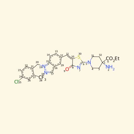 CCOC(=O)C1(N)CCN(C2=NC(=O)C(=Cc3ccc4c(cnn4Cc4ccc(Cl)cc4C(F)(F)F)c3)S2)CC1